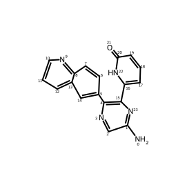 Nc1cnc(-c2ccc3ncccc3c2)c(-c2cccc(=O)[nH]2)n1